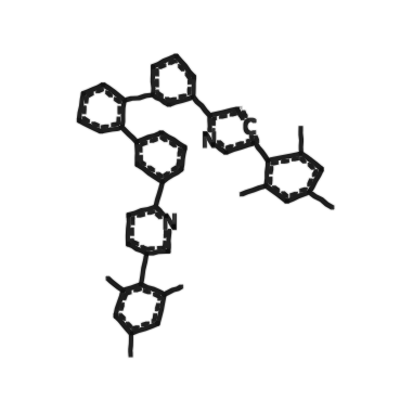 Cc1cc(C)c(-c2ccc(-c3cccc(-c4ccccc4-c4cccc(-c5ccc(-c6c(C)cc(C)cc6C)cn5)c4)c3)nc2)c(C)c1